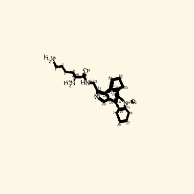 NCCCC[C@H](N)C(=O)NCC1=c2c(c3c(c4c2=CCC4)[N+](=O)C2=C3CCCC2)C=N1